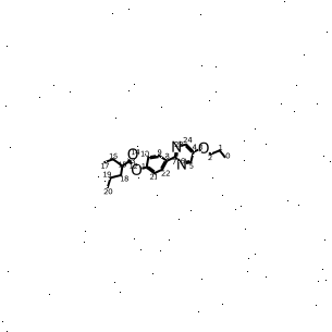 CCCOc1cnc(-c2ccc(OC(=O)C(CC)CCC)cc2)nc1